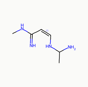 CNC(=N)/C=C\NC(C)N